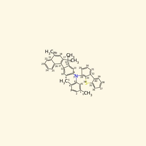 Cc1ccc(C)c(N(c2ccc3c(c2)C(C)(C)c2cc(C)c4ccccc4c2-3)c2cccc3c2sc2ccccc23)c1